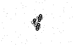 O=S(=O)([O-])c1ccccc1.O=c1c2ccccc2oc2ccc([I+]c3ccc4oc5ccccc5c(=O)c4c3)cc12